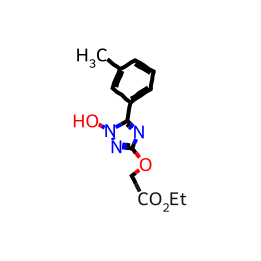 CCOC(=O)COc1nc(-c2cccc(C)c2)n(O)n1